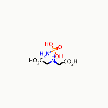 NP(=O)(O)O.O=C(O)CNCC(=O)O